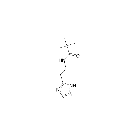 CC(C)(C)C(=O)NCCc1nnn[nH]1